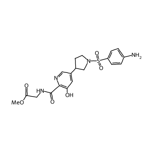 COC(=O)CNC(=O)c1ncc(C2CCN(S(=O)(=O)c3ccc(N)cc3)C2)cc1O